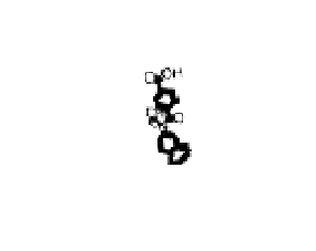 CON(C(=O)c1ccc(C(=O)O)cc1)c1ccc2ccccc2c1